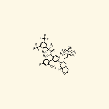 Cc1cc(F)ccc1-c1cc(N2C[C@H]3COCCN3C[C@H]2CCC(C)(C)[Si](C)(C)O)ncc1N(C)C(=O)C(C)(C)c1cc(C(F)(F)F)cc(C(F)(F)F)c1